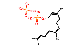 CC=C(CC)CCC=C(CC)CCC=C(C)C.O=P(O)(O)O.O=P(O)(O)O